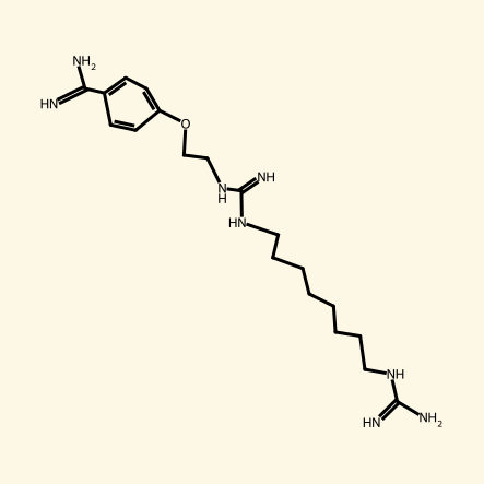 N=C(N)NCCCCCCCCNC(=N)NCCOc1ccc(C(=N)N)cc1